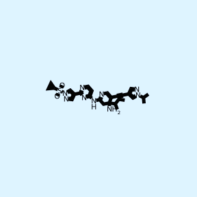 CCC(C)C1(N)CC(Nc2ccnc(-c3cnn(S(=O)(=O)C4CC4)c3)n2)=NC=C1C#Cc1cnn(C(C)C)c1